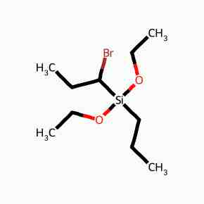 CCC[Si](OCC)(OCC)C(Br)CC